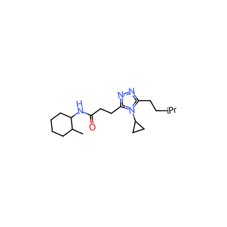 CC(C)CCc1nnc(CCC(=O)NC2CCCCC2C)n1C1CC1